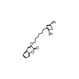 CC(C)c1cc(CCCCCCOc2cc3ccccc3oc2=O)c(C(C)C)s1